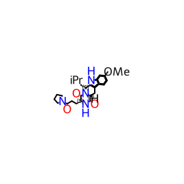 COc1ccc2c3c([nH]c2c1)[C@H](CC(C)C)N1C(=O)[C@H](CCC(=O)N2CCCC2)NC(=O)[C@@H]1C3